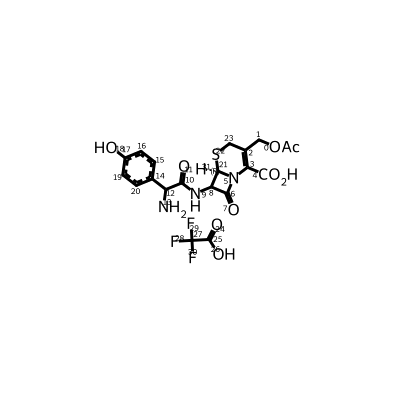 CC(=O)OCC1=C(C(=O)O)N2C(=O)C(NC(=O)C(N)c3ccc(O)cc3)[C@H]2SC1.O=C(O)C(F)(F)F